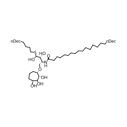 CCCCCCCCCCCCCCCCCCCCCCCCCC(=O)N[C@H](CO[C@H]1CCC[C@H](O)[C@H](O)[C@H]1O)[C@@H](O)[C@@H](O)SCCCCCCCCCCCCCC